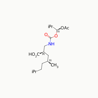 CC(=O)O[C@@H](OC(=O)NC[C@@H](C[C@@H](C)CCC(C)C)C(=O)O)C(C)C